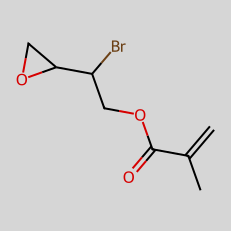 C=C(C)C(=O)OCC(Br)C1CO1